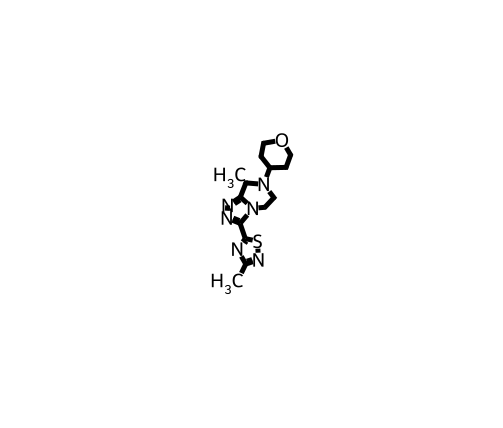 Cc1nsc(-c2nnc3n2CCN(C2CCOCC2)[C@@H]3C)n1